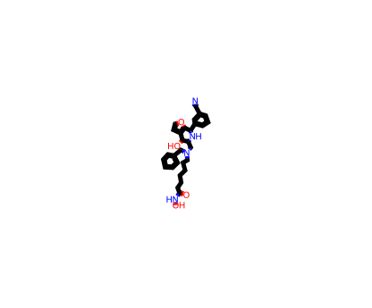 N#Cc1cccc(C2NC(CN(CCCCCCC(=O)NO)Cc3ccccc3)C(O)c3ccoc32)c1